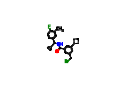 Cc1cc(C(NC(=O)c2cc(CBr)cc(C3CCC3)c2)C2CC2)ccc1F